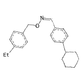 CCc1ccc(CO/N=[C]\c2ccc(C3CCCCC3)cc2)cc1